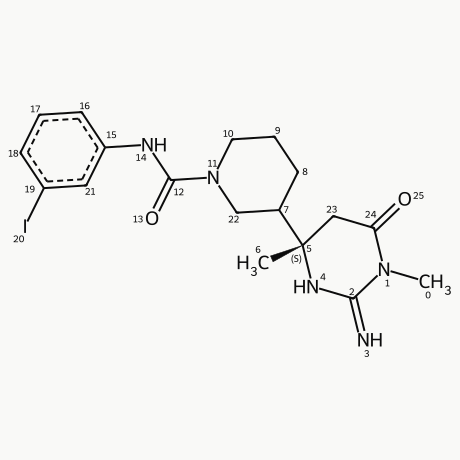 CN1C(=N)N[C@](C)(C2CCCN(C(=O)Nc3cccc(I)c3)C2)CC1=O